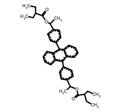 CCC(CC)C(=O)OC(C)c1ccc(-c2c3ccccc3c(-c3ccc(C(C)OC(=O)C(CC)CC)cc3)c3ccccc23)cc1